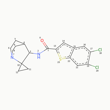 O=C(NC1C2CCN(CC2)C12CC2)c1cc2cc(Cl)c(Cl)cc2s1